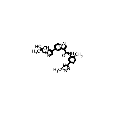 Cc1ccc(-c2nnn(C)n2)cc1NC(=O)c1cnn2ccc(-c3cnn(CC(C)(C)O)c3)cc12